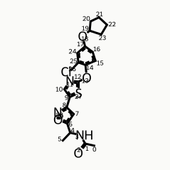 CC(=O)NC(C)c1cc(-c2cnc(Oc3ccc(OC4CCCC4)cc3Cl)s2)no1